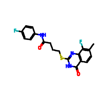 Cc1ccc2c(=O)[nH]c(SCCCC(=O)Nc3ccc(F)cc3)nc2c1F